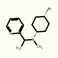 CC(c1ccccn1)N(C)[C@H]1CC[C@@H](C(C)C)CC1